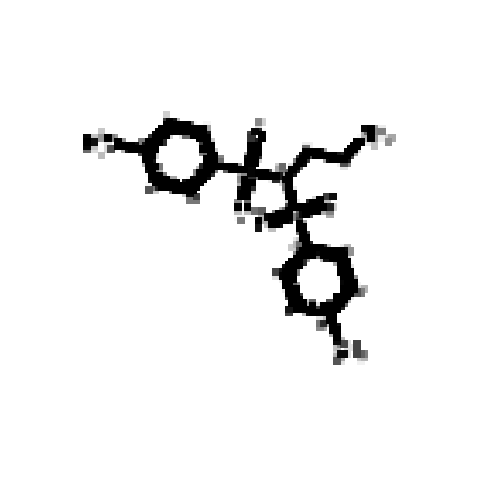 Cc1ccc(S(=O)(=O)N(CCN)S(=O)(=O)c2ccc(C)cc2)cc1